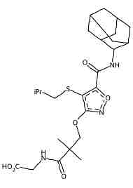 CC(C)CSc1c(OCC(C)(C)C(=O)NCC(=O)O)noc1C(=O)NC1C2CC3CC(C2)CC1C3